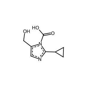 O=C(O)n1c(CO)cnc1C1CC1